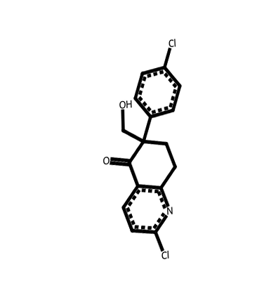 O=C1c2ccc(Cl)nc2CCC1(CO)c1ccc(Cl)cc1